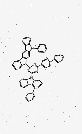 c1ccc(-c2ccc(-c3nc(-n4c5ccccc5c5cc6c7ccccc7n(-c7ccccc7)c6cc54)nc(-n4c5ccccc5c5c(-c6ccccc6)cccc54)n3)cc2)cc1